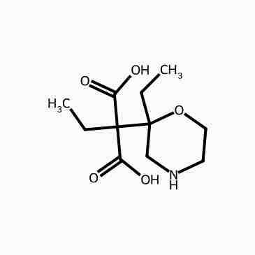 CCC1(C(CC)(C(=O)O)C(=O)O)CNCCO1